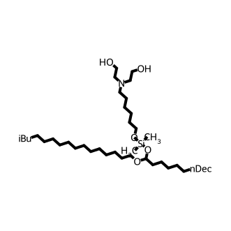 CCCCCCCCCCCCCCCC(OCCCCCCCCCCCCCC(C)CC)O[Si](C)(C)OCCCCCCN(CCO)CCO